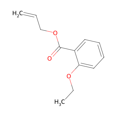 C=CCOC(=O)c1ccccc1OCC